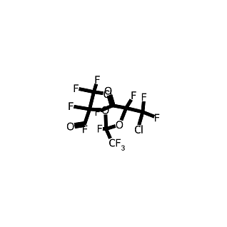 O=C(F)C(F)(OC(F)(OC(F)(C(=O)F)C(F)(F)Cl)C(F)(F)F)C(F)(F)Cl